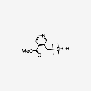 COC(=O)c1ccncc1CC(C)(C)[Si](C)(C)O